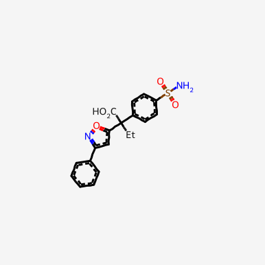 CCC(C(=O)O)(c1ccc(S(N)(=O)=O)cc1)c1cc(-c2ccccc2)no1